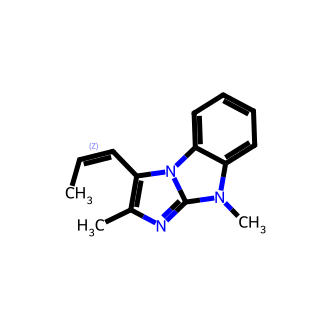 C/C=C\c1c(C)nc2n(C)c3ccccc3n12